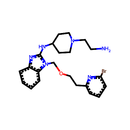 NCCN1CCC(Nc2nc3ccccc3n2COCCc2cccc(Br)n2)CC1